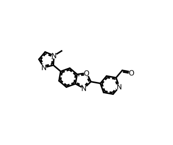 Cn1ccnc1-c1ccc2nc(-c3ccnc(C=O)c3)oc2c1